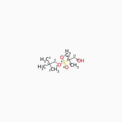 CC(C)(C)COS(=O)(=O)C(C)(C)CO